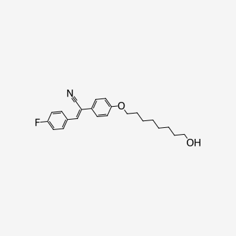 N#C/C(=C\c1ccc(F)cc1)c1ccc(OCCCCCCCCO)cc1